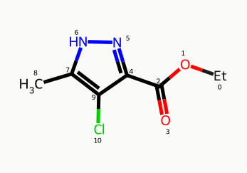 CCOC(=O)c1n[nH]c(C)c1Cl